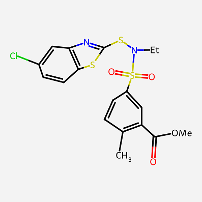 CCN(Sc1nc2cc(Cl)ccc2s1)S(=O)(=O)c1ccc(C)c(C(=O)OC)c1